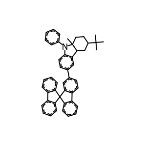 CC(C)(C)C1CCC2(C)C(C1)c1cc(-c3ccc4c(c3)C3(c5ccccc5-c5ccccc53)c3ccccc3-4)ccc1N2c1ccccc1